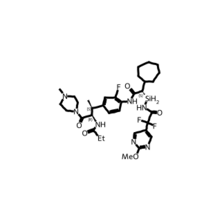 CCC(=O)N[C@@H](C(=O)N1CCN(C)CC1)[C@@H](C)c1ccc(NC(=O)[C@@H]([SiH2]NC(=O)C(F)(F)c2cnc(OC)nc2)C2CCCCCC2)c(F)c1